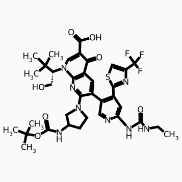 CCNC(=O)Nc1cc(-c2nc(C(F)(F)F)cs2)c(-c2cc3c(=O)c(C(=O)O)cn([C@H](CO)C(C)(C)C)c3nc2N2CCC(NC(=O)OC(C)(C)C)C2)cn1